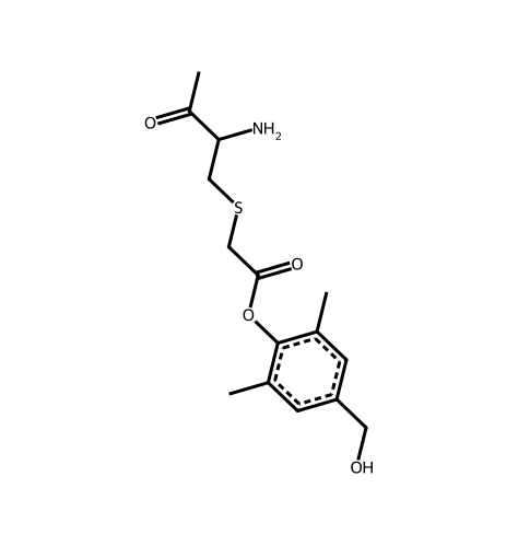 CC(=O)C(N)CSCC(=O)Oc1c(C)cc(CO)cc1C